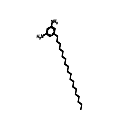 CCCCCCCCCCCCCCCCCCCCc1cc(N)cc(N)c1